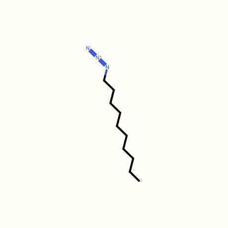 [CH2]CCCCCCCCCN=[N+]=[N-]